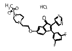 CS(=O)(=O)N1CCN(CCOc2ccc3c(c2)C(=O)C(c2cncnc2)=C3c2cc(F)cc(F)c2)CC1.Cl